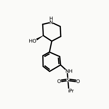 CC(C)S(=O)(=O)Nc1cccc(C2CCNC[C@@H]2O)c1